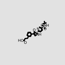 CC(C)(C)NS(=O)(=O)c1ccc(-n2[nH]cc(-c3cccc(CCC(=O)O)c3)c2=O)nc1